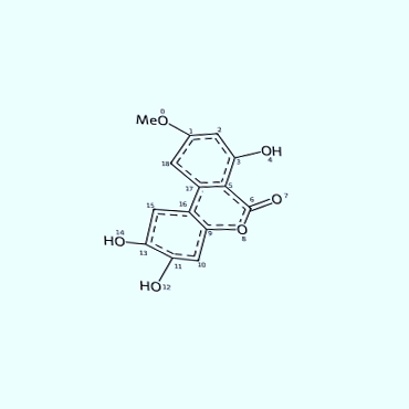 COc1cc(O)c2c(=O)oc3cc(O)c(O)cc3c2c1